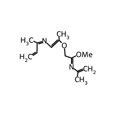 C=C/C(C)=N\C=C(/C)OC/C(=N/C(=C)C)OC